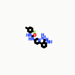 Cc1ccc(F)c(NC(=O)Nc2ccc(-c3cccc4[nH]nc(N)c34)nc2)c1